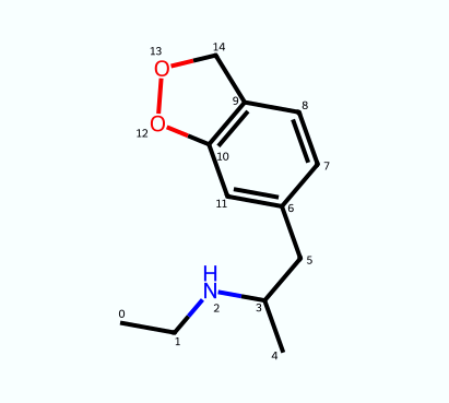 CCNC(C)Cc1ccc2c(c1)OOC2